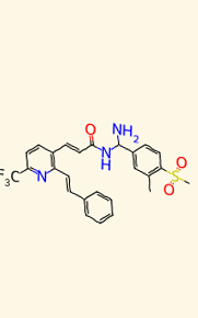 Cc1cc(C(N)NC(=O)C=Cc2ccc(C(F)(F)F)nc2C=Cc2ccccc2)ccc1S(C)(=O)=O